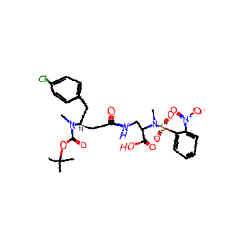 CN(C(=O)OC(C)(C)C)[C@H](CC(=O)NCC(C(=O)O)N(C)S(=O)(=O)c1ccccc1[N+](=O)[O-])Cc1ccc(Cl)cc1